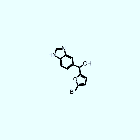 OC(c1ccc2[nH]cnc2c1)c1ccc(Br)o1